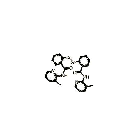 Cc1cccnc1NC(=O)c1ccccc1[Se][Se]c1ccccc1C(=O)Nc1ncccc1C